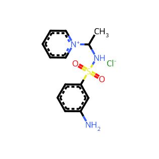 CC(NS(=O)(=O)c1cccc(N)c1)[n+]1ccccc1.[Cl-]